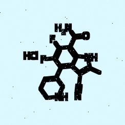 Cc1[nH]c2c(C(N)=O)c(F)c(F)c(C3=CCCNC3)c2c1C#N.Cl